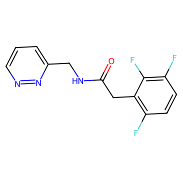 O=C(Cc1c(F)ccc(F)c1F)NCc1cccnn1